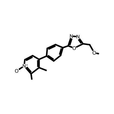 COCc1nnc(-c2ccc(-c3cc[n+]([O-])c(C)c3C)cc2)o1